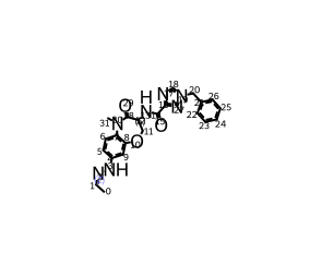 C/C=N\Nc1ccc2c(c1)OC[C@H](NC(=O)c1ncn(Cc3ccccc3)n1)C(=O)N2C